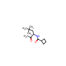 CC(=O)C(CC(C)(C)C)NC(=O)C1CCC1